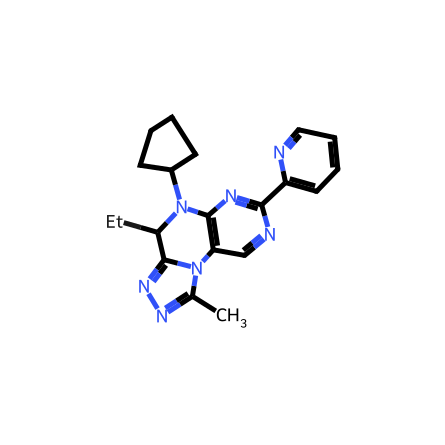 CCC1c2nnc(C)n2-c2cnc(-c3ccccn3)nc2N1C1CCCC1